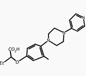 CCC(Oc1ccc(N2CCN(c3ccncc3)CC2)c(C)c1)C(=O)O